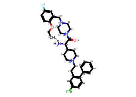 CCOc1ccc(F)cc1CN1CCN(C(=O)[C@H](N)C2CCN(CCc3cc(Cl)ccc3-c3ccccc3)CC2)CC1